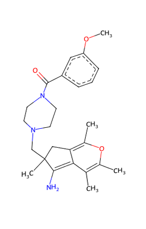 COc1cccc(C(=O)N2CCN(CC3(C)CC4=C(C)OC(C)=C(C)C4=C3N)CC2)c1